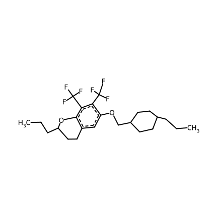 CCCC1CCC(COc2cc3c(c(C(F)(F)F)c2C(F)(F)F)OC(CCC)CC3)CC1